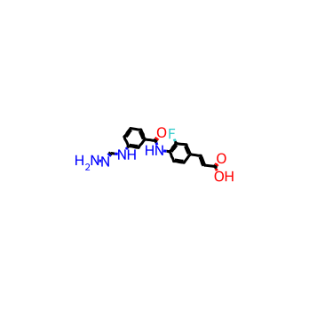 NN=CNc1cccc(C(=O)Nc2ccc(C=CC(=O)O)cc2F)c1